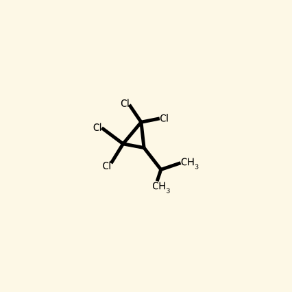 CC(C)C1C(Cl)(Cl)C1(Cl)Cl